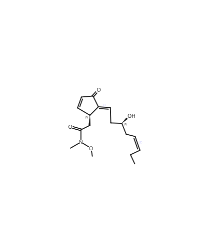 CC/C=C\C[C@H](O)C/C=C1/C(=O)C=C[C@@H]1CC(=O)N(C)OC